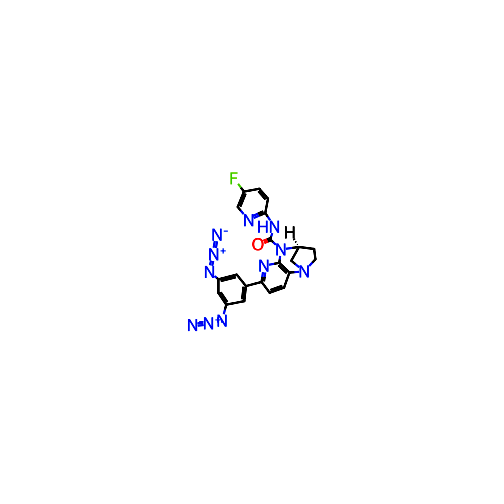 [N-]=[N+]=Nc1cc(N=[N+]=[N-])cc(-c2ccc3c(n2)N(C(=O)Nc2ccc(F)cn2)[C@H]2CCN3C2)c1